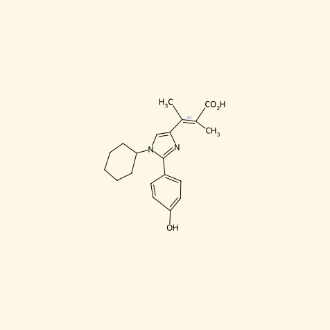 C/C(C(=O)O)=C(/C)c1cn(C2CCCCC2)c(-c2ccc(O)cc2)n1